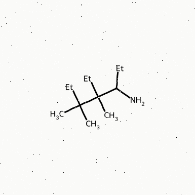 CCC(N)C(C)(CC)C(C)(C)CC